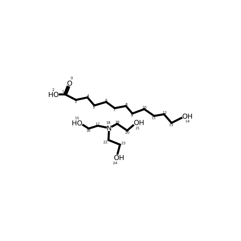 O=C(O)CCCCCCCCCCCO.OCCN(CCO)CCO